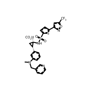 CN(Cc1cccnc1)c1cccc([C@@H]2C[C@]2(NS(=O)(=O)c2ccc(-c3cc(C(F)(F)F)on3)s2)C(=O)O)c1